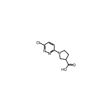 O=C(O)C1CCN(c2ccc(Cl)nn2)C1